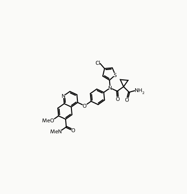 CNC(=O)c1cc2c(Oc3ccc(N(C(=O)C4(C(N)=O)CC4)c4cc(Cl)cs4)cc3)ccnc2cc1OC